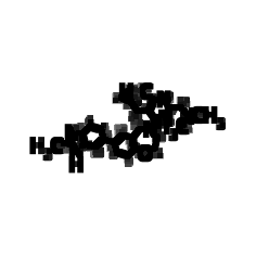 Cc1nc2ccc(-c3ccc4c(c3)CN(c3nc(CN(C)C)nc(C)c3CC3CC3)CCO4)cc2[nH]1